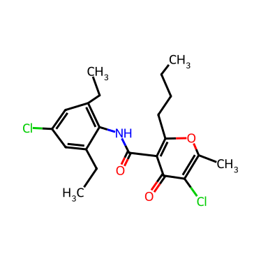 CCCCc1oc(C)c(Cl)c(=O)c1C(=O)Nc1c(CC)cc(Cl)cc1CC